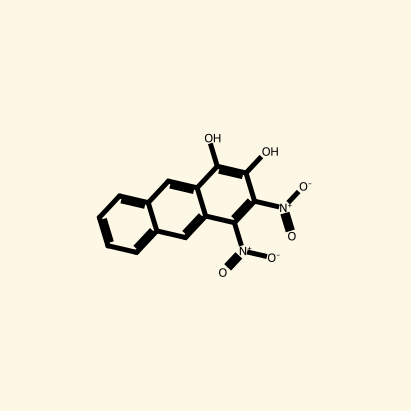 O=[N+]([O-])c1c(O)c(O)c2cc3ccccc3cc2c1[N+](=O)[O-]